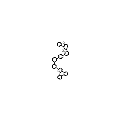 c1cc(-c2ccc(-c3cccc4c3oc3c4ccc4oc5ccccc5c43)cc2)cc(-c2cccc(-c3cnc4c5ccccc5c5ccccc5c4n3)c2)c1